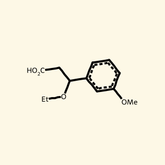 CCOC(CC(=O)O)c1cccc(OC)c1